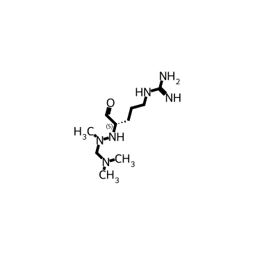 CN(C)CN(C)N[C@H](C=O)CCCNC(=N)N